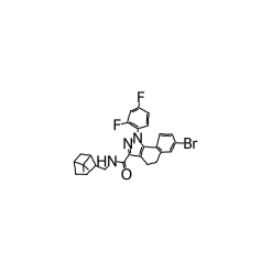 CC1(C)C2CCC(CNC(=O)c3nn(-c4ccc(F)cc4F)c4c3CCc3cc(Br)ccc3-4)C1C2